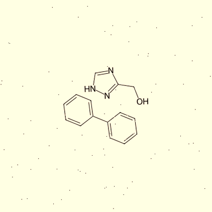 OCc1nc[nH]n1.c1ccc(-c2ccccc2)cc1